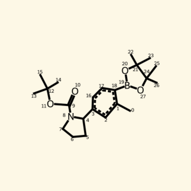 Cc1cc(C2CCCN2C(=O)OC(C)(C)C)ccc1B1OC(C)(C)C(C)(C)O1